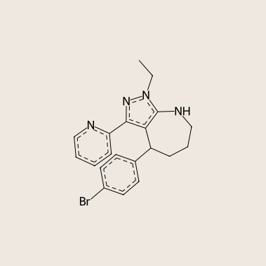 CCn1nc(-c2ccccn2)c2c1NCCCC2c1ccc(Br)cc1